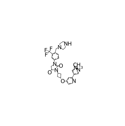 Cn1cc(-c2cc(O[C@H]3C[C@H](N4C(=O)CN(c5ccc(CN6CCNCC6)c(C(F)(F)F)c5)C4=O)C3)ccn2)cn1